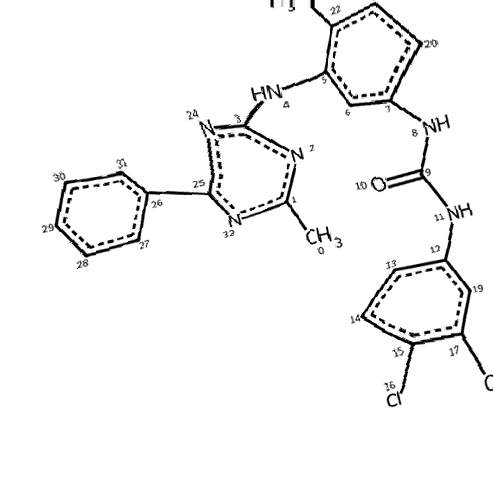 Cc1nc(Nc2cc(NC(=O)Nc3ccc(Cl)c(C(F)(F)F)c3)ccc2C)nc(-c2ccccc2)n1